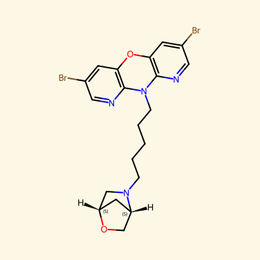 Brc1cnc2c(c1)Oc1cc(Br)cnc1N2CCCCCN1C[C@@H]2C[C@H]1CO2